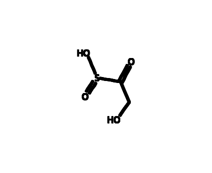 O=C(CO)S(=O)O